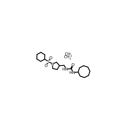 O=C(NCC1CCN(S(=O)(=O)C2CCCCC2)C1)N[C]1CCCCCCC1.[CH2].[CH2]